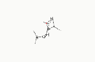 CB(C)O[PH]12C(C)N(C1C)C2C